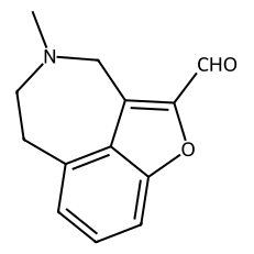 CN1CCc2cccc3oc(C=O)c(c23)C1